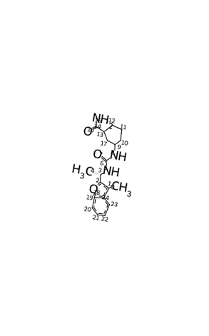 Cc1c([C@H](C)NC(=O)NC2CCCC(C(N)=O)C2)oc2ccccc12